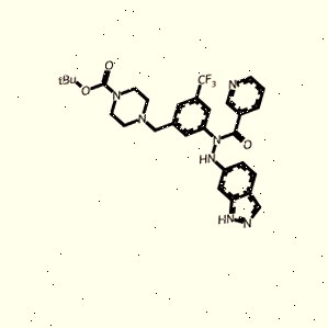 CC(C)(C)OC(=O)N1CCN(Cc2cc(N(Nc3ccc4cn[nH]c4c3)C(=O)c3cccnc3)cc(C(F)(F)F)c2)CC1